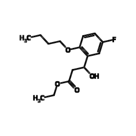 CCCCOc1ccc(F)cc1C(O)CC(=O)OCC